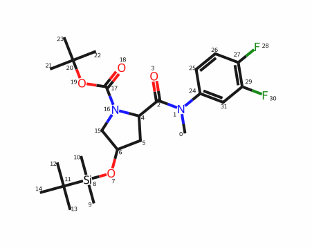 CN(C(=O)C1CC(O[Si](C)(C)C(C)(C)C)CN1C(=O)OC(C)(C)C)c1ccc(F)c(F)c1